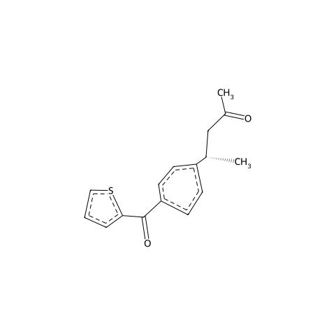 CC(=O)C[C@H](C)c1ccc(C(=O)c2cccs2)cc1